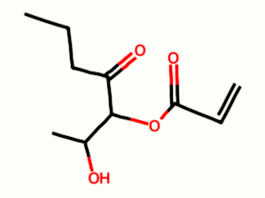 C=CC(=O)OC(C(=O)CCC)C(C)O